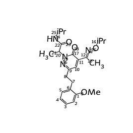 COc1ccccc1CCc1cc(C(C)=NOC(C)C)c(=O)n(C(C)C(=O)NC(C)C)n1